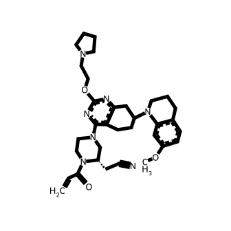 C=CC(=O)N1CCN(c2nc(OCCN3CCCC3)nc3c2CCC(N2CCCc4ccc(OC)cc42)C3)C[C@@H]1CC#N